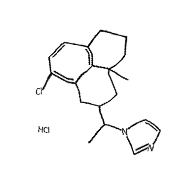 CC(C1Cc2c(Cl)ccc3c2C(C)(CCC3)C1)n1ccnc1.Cl